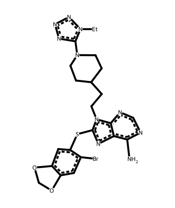 CCn1nnnc1N1CCC(CCn2c(Sc3cc4c(cc3Br)OCO4)nc3c(N)ncnc32)CC1